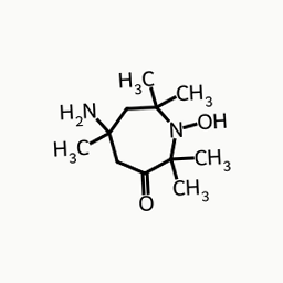 CC1(N)CC(=O)C(C)(C)N(O)C(C)(C)C1